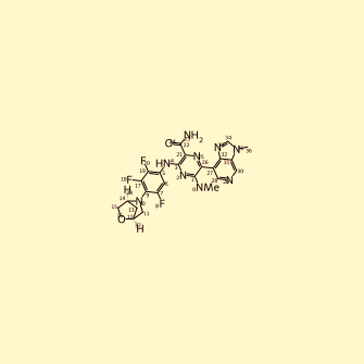 CNc1nc(Nc2cc(F)c(N3C[C@@H]4C[C@H]3CO4)c(F)c2F)c(C(N)=O)nc1-c1cncc2c1ncn2C